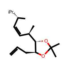 C=CC[C@@H]1OC(C)(C)O[C@H]1[C@H](C)/C=C\[C@@H](C)C(C)C